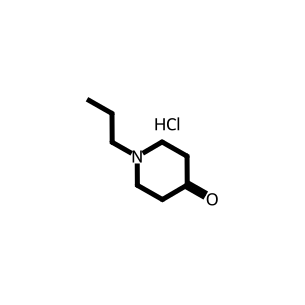 CCCN1CCC(=O)CC1.Cl